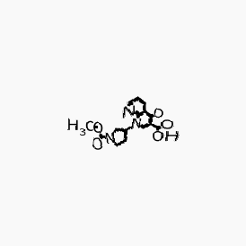 COC(=O)N1CCC(n2cc(C(=O)O)c(=O)c3cccnc32)C1